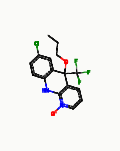 CCCOC1(C(F)(F)F)c2cc(Cl)ccc2Nc2c1ccc[n+]2[O-]